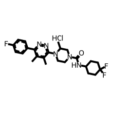 Cc1c(-c2ccc(F)cc2)nnc(N2CCN(C(=O)NC3CCC(F)(F)CC3)CC2C)c1C.Cl